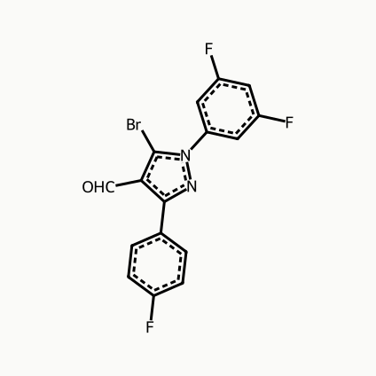 O=Cc1c(-c2ccc(F)cc2)nn(-c2cc(F)cc(F)c2)c1Br